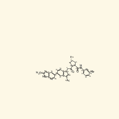 CC(=O)c1nn(CC(=O)N2C[C@H](F)C[C@H]2C(=O)Nc2cccc(Br)n2)c2ccc(-c3cnc4[nH]c(C)nc4c3)cc12